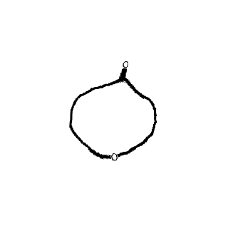 O=C1CCCCCCCCOCCCCCCC1